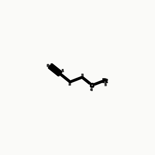 [C]#CCCOCC